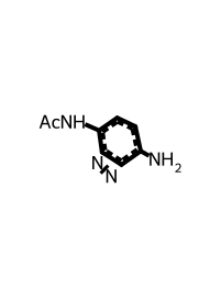 CC(=O)Nc1ccc(N)cc1.N#N